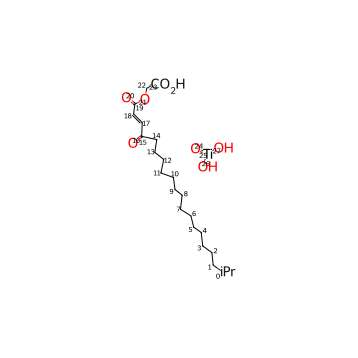 CC(C)CCCCCCCCCCCCCCC(=O)C=CC(=O)OCC(=O)O.[O]=[Ti]([OH])[OH]